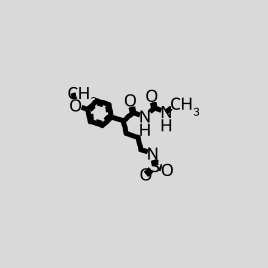 CNC(=O)NC(=O)C(CCCN=S(=O)=O)c1ccc(OC)cc1